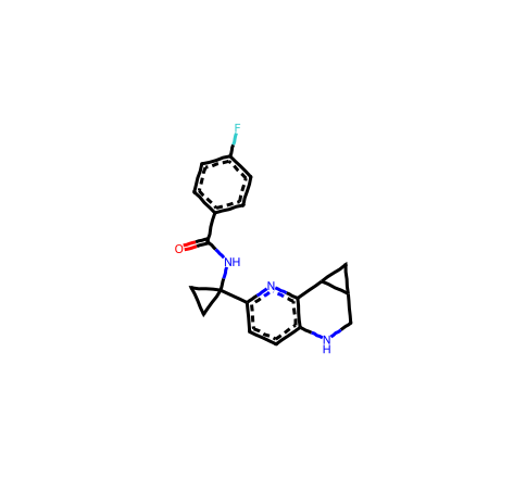 O=C(NC1(c2ccc3c(n2)C2CC2CN3)CC1)c1ccc(F)cc1